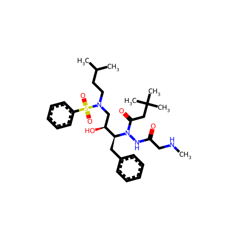 CNCC(=O)NN(C(=O)CC(C)(C)C)[C@@H](Cc1ccccc1)[C@@H](O)CN(CCC(C)C)S(=O)(=O)c1ccccc1